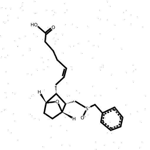 O=C(O)CCC/C=C\C[C@@H]1[C@H](C[S+]([O-])Cc2ccccc2)[C@@H]2CC[C@H]1O2